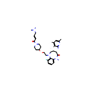 Cc1cc(C(F)(F)F)c(C#N)c(N[C@H]2CCN(CCOC3CCN(C(=O)/C=C/CN(C)C)CC3)c3c(F)cccc3N(C)C2=O)n1